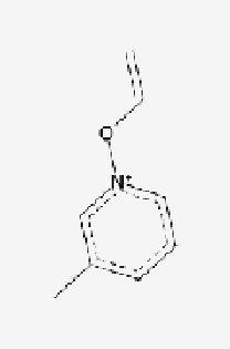 C=CO[n+]1cccc(C)c1